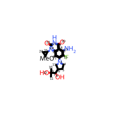 COc1c(N2CCC(C(O)C(C)(C)O)C2)c(F)c(N)c2c(=O)[nH]c(=O)n(C3CC3)c12